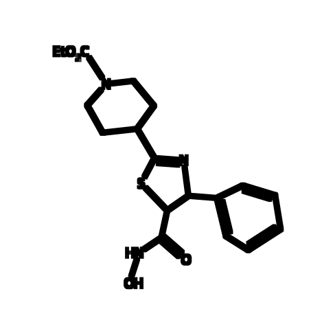 CCOC(=O)N1CCC(C2=NC(c3ccccc3)C(C(=O)NO)S2)CC1